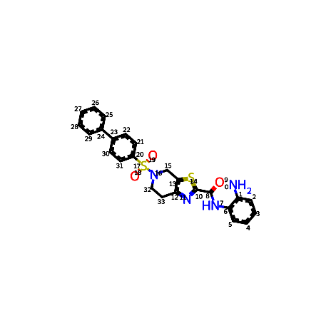 Nc1ccccc1NC(=O)c1nc2c(s1)CN(S(=O)(=O)c1ccc(-c3ccccc3)cc1)CC2